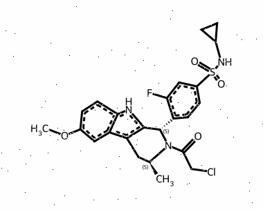 COc1ccc2[nH]c3c(c2c1)C[C@H](C)N(C(=O)CCl)[C@H]3c1ccc(S(=O)(=O)NC2CC2)cc1F